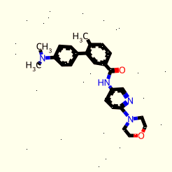 Cc1ccc(C(=O)Nc2ccc(N3CCOCC3)nc2)cc1-c1ccc(N(C)C)cc1